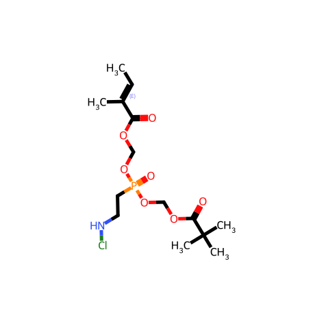 C/C=C(\C)C(=O)OCOP(=O)(CCNCl)OCOC(=O)C(C)(C)C